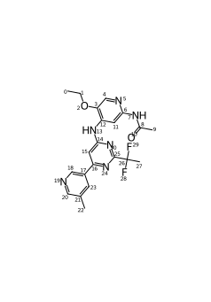 CCOc1cnc(NC(C)=O)cc1Nc1cc(-c2cncc(C)c2)nc(C(C)(F)F)n1